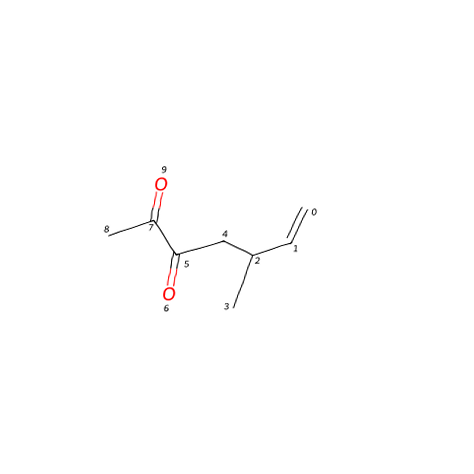 C=CC(C)CC(=O)C(C)=O